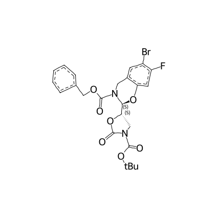 CC(C)(C)OC(=O)N1C[C@@H]([C@@H]2Oc3cc(F)c(Br)cc3CN2C(=O)OCc2ccccc2)OC1=O